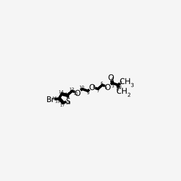 C=C(C)C(=O)OCCOCCOCc1cc(Br)cs1